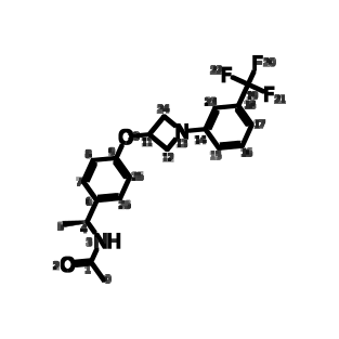 CC(=O)N[C@@H](C)c1ccc(OC2CN(c3cccc(C(F)(F)F)c3)C2)cc1